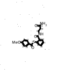 COc1ccc(C(=O)Sc2ccccc2C(=O)NCCC(N)=O)cc1